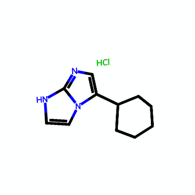 Cl.c1cn2c(C3CCCCC3)cnc2[nH]1